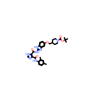 Cc1ccc(NC(=O)c2nc[nH]c2C(=O)Nc2nc3cc(OCC4CCN(C(=O)OC(C)(C)C)CC4)ccc3[nH]2)c(C)c1